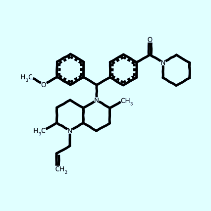 C=CCN1C(C)CCC2C1CCC(C)N2C(c1ccc(C(=O)N2CCCCC2)cc1)c1cccc(OC)c1